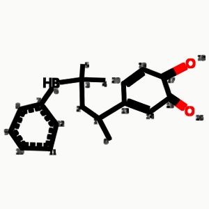 CC(CC(C)(C)Bc1ccccc1)C1=CC(=O)C(=O)C=C1